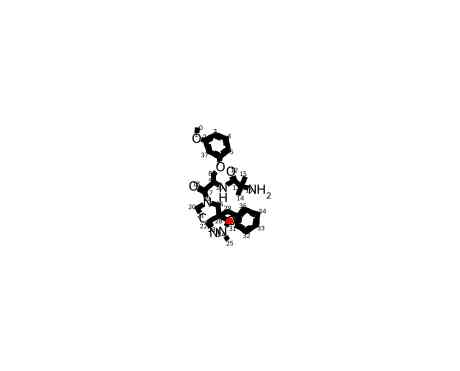 COc1cccc(OCC(NC(=O)C(C)(C)N)C(=O)N2CCC3=NN(C)C(=O)C3(Cc3ccccc3)C2)c1